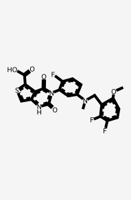 COc1ccc(F)c(F)c1CN(C)c1ccc(F)c(-n2c(=O)[nH]c3csc(C(=O)O)c3c2=O)c1